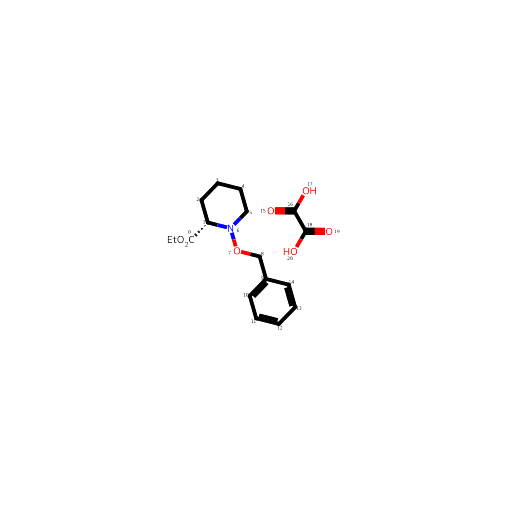 CCOC(=O)[C@@H]1CCCCN1OCc1ccccc1.O=C(O)C(=O)O